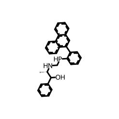 C[C@H](NCPc1ccccc1-c1cc2ccccc2c2ccccc12)C(O)c1ccccc1